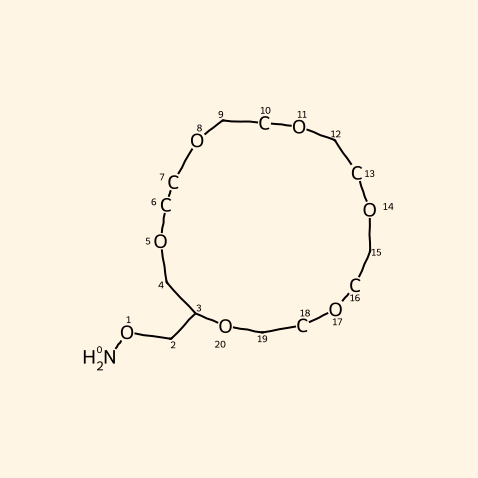 NOCC1COCCOCCOCCOCCOCCO1